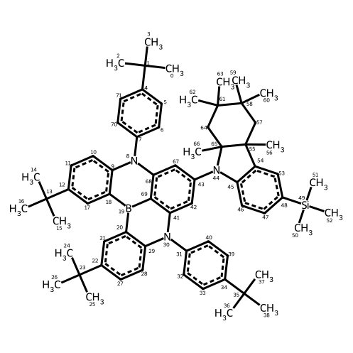 CC(C)(C)c1ccc(N2c3ccc(C(C)(C)C)cc3B3c4cc(C(C)(C)C)ccc4N(c4ccc(C(C)(C)C)cc4)c4cc(N5c6ccc([Si](C)(C)C)cc6C6(C)CC(C)(C)C(C)(C)CC56C)cc2c43)cc1